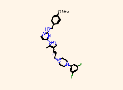 COc1ccc(CNc2nccc(-n3ncc(/C=C/CN4CCN(c5cc(F)cc(F)c5)CC4)c3C)n2)cc1